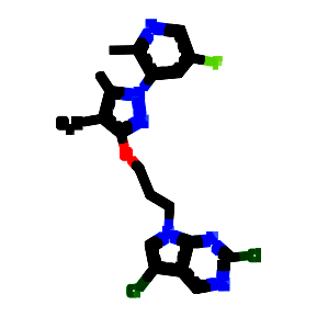 Cc1ncc(F)cc1-n1nc(OCCCn2cc(Cl)c3cnc(Cl)nc32)c([N+](=O)[O-])c1C